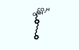 O=C(O)CNC(=O)CCc1ccc(CCCCCCc2ccccc2)cc1